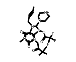 CC#CCN1c2c(n(CC(=O)C(C)(C)C)c(=O)n(C)c2=O)N(OC(=O)C(F)(F)F)C1N1CCNCC1